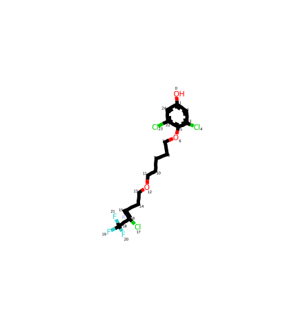 Oc1cc(Cl)c(OCCCCCOCC/C=C(\Cl)C(F)(F)F)c(Cl)c1